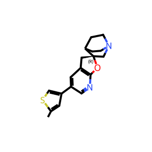 Cc1cc(-c2cnc3c(c2)C[C@@]2(CN4CCC2CC4)O3)cs1